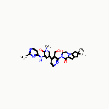 Cc1nccc(Nc2cc(-c3ccnc(N4CCn5c(cc6c5CC(C)(C)C6)C4=O)c3CO)cn(C)c2=O)n1